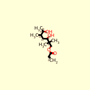 C=CC(=O)OCC(C)(C)C(O)CC(C)C(C)O